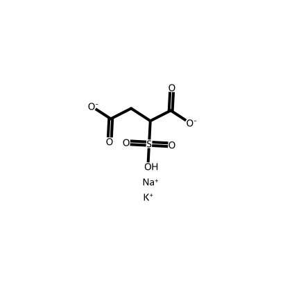 O=C([O-])CC(C(=O)[O-])S(=O)(=O)O.[K+].[Na+]